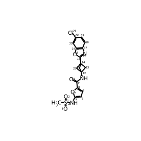 CS(=O)(=O)Nc1ccc(C(=O)NC23CC(c4nc5ccc(Cl)cc5o4)(C2)C3)o1